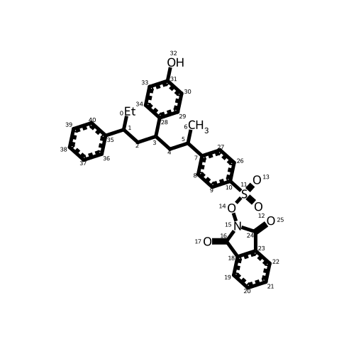 CCC(CC(CC(C)c1ccc(S(=O)(=O)ON2C(=O)c3ccccc3C2=O)cc1)c1ccc(O)cc1)c1ccccc1